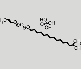 CC=COOOOOCCCCCCCCCCCCCC(C)C.O=P(O)(O)O